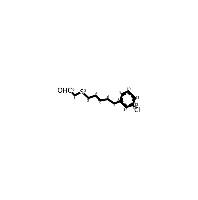 O=CCSCC[CH]CCc1cccc(Cl)c1